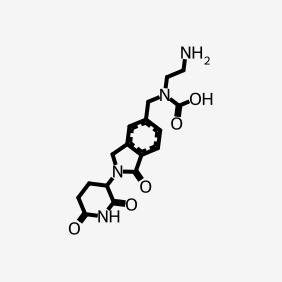 NCCN(Cc1ccc2c(c1)CN(C1CCC(=O)NC1=O)C2=O)C(=O)O